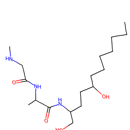 CCCCCCCC(O)CCC(CO)NC(=O)C(C)NC(=O)CNC